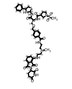 CN(CCNC(=O)c1ccc(COC[C@H](NC(=O)C2CCN(S(C)(=O)=O)C2)C(=O)NC2NC(c3ccccc3)CS2)cc1)CCNc1cccc2c1C(=O)N(C1CCC(=O)NC1=O)C2=O